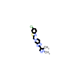 Cc1c(-c2nc3ccn(Cc4nc5ccc(Cl)cc5s4)cc-3n2)cnn1C